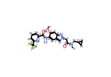 COc1cc2nn(CC(=O)N(C)CC3CC3)cc2cc1NC(=O)c1cccc(C(F)(F)F)n1